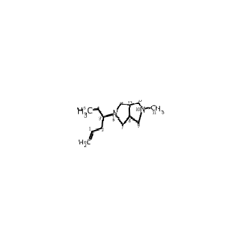 C=CCC(CC)N1CC2CN(C)CC2C1